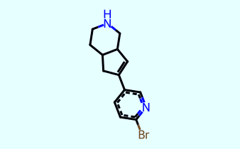 Brc1ccc(C2=CC3CNCCC3C2)cn1